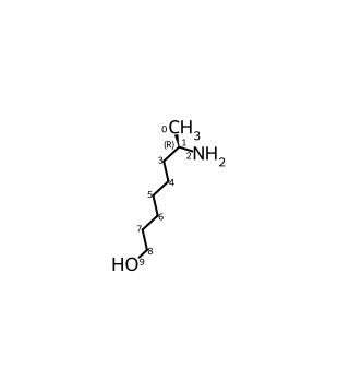 C[C@@H](N)CCCCCCO